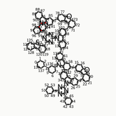 c1ccc(-c2cccc(-n3c4ccc(-c5ccc6oc7cccc(-c8ccc9c(c8)c8ccccc8n9-c8nc(-c9ccccc9)nc(-c9ccccc9)n8)c7c6c5)cc4c4cc(-c5ccc6c7cc(-c8cccc9oc%10ccc(-c%11ccc%12c(c%11)c%11ccccc%11n%12-c%11ccccc%11)cc%10c89)ccc7n(-c7nc(-c8ccccc8)nc(-c8cccc9c8sc8ccccc89)n7)c6c5)ccc43)c2)cc1